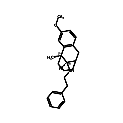 COc1ccc2c(c1)[C@@]1(C)CCCC(C2)[C@H]1NCCc1ccccc1